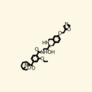 CCOc1cc(C(=O)N2CC3CCC2COC3)ccc1C(=O)NC[C@@H](O)[C@@H]1Cc2ccc(OCc3cnco3)cc2CN1